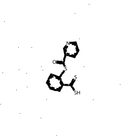 O=C(Sc1ccccc1C(=S)S)c1cccnc1